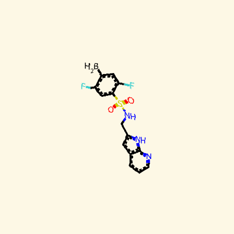 Bc1cc(F)c(S(=O)(=O)NCc2cc3cccnc3[nH]2)cc1F